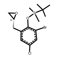 CC(C)(C)[Si](C)(C)Oc1c(Br)cc(Cl)cc1C[C@@H]1CO1